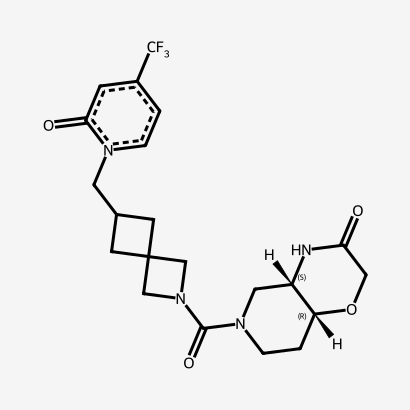 O=C1CO[C@@H]2CCN(C(=O)N3CC4(CC(Cn5ccc(C(F)(F)F)cc5=O)C4)C3)C[C@@H]2N1